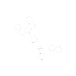 c1ccc2c(c1)C(c1ccc3ccccc3c1)[N@@]1C(c3ccc(-n4c5ccc6ccccc6c5c5c6ccccc6ccc54)cc3)N21